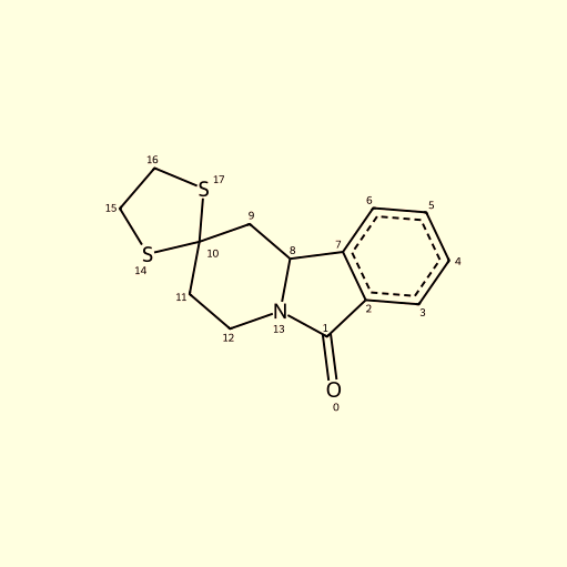 O=C1c2ccccc2C2CC3(CCN12)SCCS3